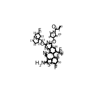 C=CC(=O)N1CC[C@H](Oc2nc(OC[C@@]34CCCN3C[C@H](F)C4)nc3c(F)c(-c4ccc(F)c5sc(N)c(C#N)c45)c(C(F)(F)F)cc23)[C@H]1C